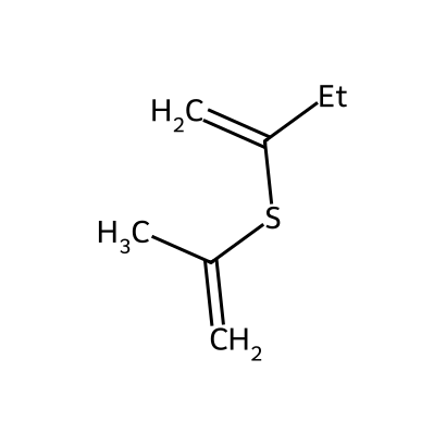 C=C(C)SC(=C)CC